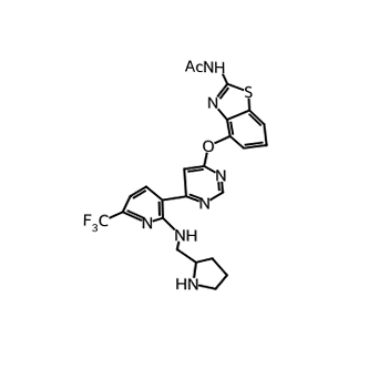 CC(=O)Nc1nc2c(Oc3cc(-c4ccc(C(F)(F)F)nc4NCC4CCCN4)ncn3)cccc2s1